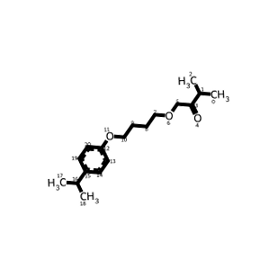 CC(C)C(=O)COCCCCOc1ccc(C(C)C)cc1